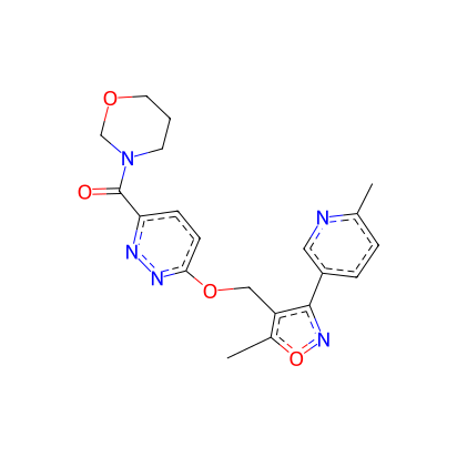 Cc1ccc(-c2noc(C)c2COc2ccc(C(=O)N3CCCOC3)nn2)cn1